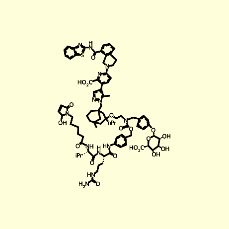 CCCC1(OCCN(Cc2ccc(O[C@@H]3O[C@H](C(=O)O)[C@@H](O)[C@H](O)[C@H]3O)cc2)C(=O)OCc2ccc(NC(=O)[C@H](CCCNC(N)=O)NC(=O)[C@@H](NC(=O)CCCCCN3C(=O)C=CC3O)C(C)C)cc2)CC2(C)CCCC(Cn3ncc(-c4ccc(N5CCc6cccc(C(=O)Nc7nc8ccccc8s7)c6C5)nc4C(=O)O)c3C)(C2)C1